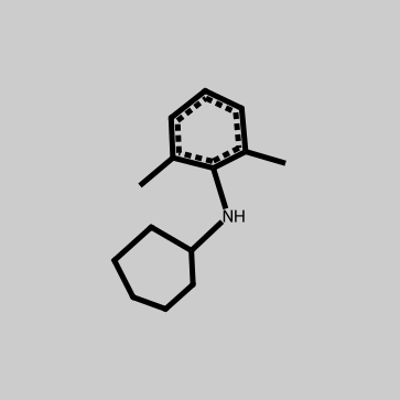 Cc1cccc(C)c1NC1CCCCC1